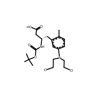 Cc1ccc(N(CCCl)CCCl)cc1C[C@@H](CC(=O)O)NC(=O)OC(C)(C)C